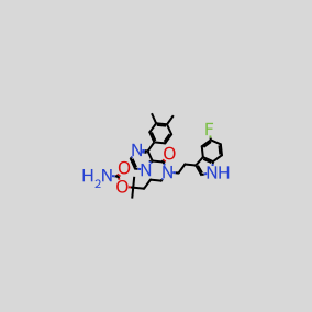 Cc1ccc(-c2nccnc2C(=O)N(CCCC(C)(C)OC(N)=O)CCc2c[nH]c3ccc(F)cc23)cc1C